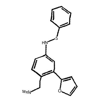 CNCc1ccc(NSc2ccccc2)cc1-c1ccco1